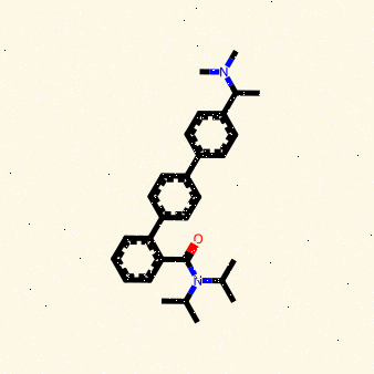 CC(c1ccc(-c2ccc(-c3ccccc3C(=O)N(C(C)C)C(C)C)cc2)cc1)N(C)C